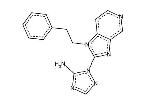 Nc1ncnn1-c1nc2cnccc2n1CCc1ccccc1